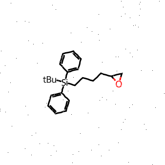 CC(C)(C)[Si](CCCCC1CO1)(c1ccccc1)c1ccccc1